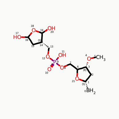 B[C@H]1C[C@@H](OC)C(COP(=O)(O)OC[C@@H]2CC(O)OC2O)O1